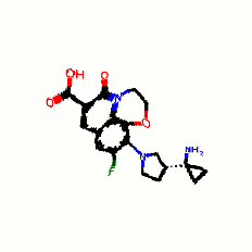 NC1([C@@H]2CCN(c3c(F)cc4cc(C(=O)O)c(=O)n5c4c3OCC5)C2)CC1